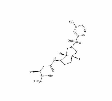 CC(C)[C@@H](CC(=O)N[C@@H]1CC[C@H]2CN(S(=O)(=O)c3cccc(C(F)(F)F)c3)C[C@H]21)N(C(=O)O)C(C)(C)C